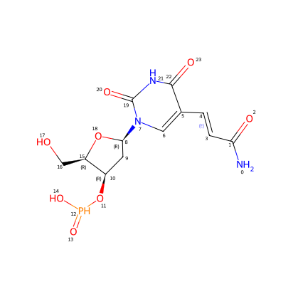 NC(=O)/C=C/c1cn([C@H]2C[C@@H](O[PH](=O)O)[C@@H](CO)O2)c(=O)[nH]c1=O